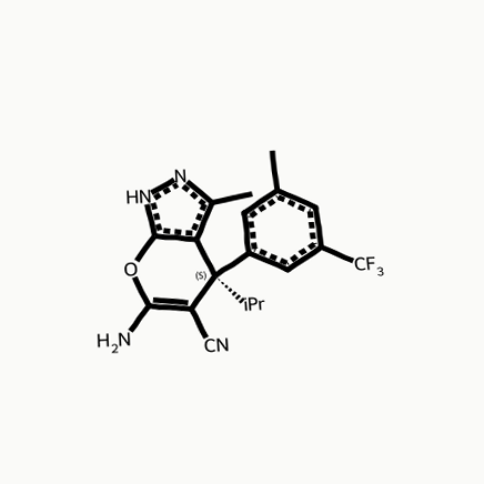 Cc1cc(C(F)(F)F)cc([C@@]2(C(C)C)C(C#N)=C(N)Oc3[nH]nc(C)c32)c1